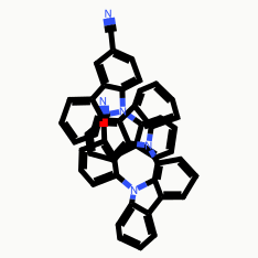 N#Cc1ccc2c(c1)c1ccccc1n2-c1ccccc1-c1c(C#N)cccc1-n1c2ccccc2c2cccc(-n3c4ccccc4c4ccccc43)c21